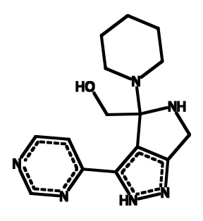 OCC1(N2CCCCC2)NCc2n[nH]c(-c3ccncn3)c21